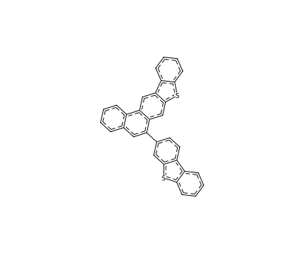 c1ccc2c(c1)cc(-c1ccc3c(c1)sc1ccccc13)c1cc3sc4ccccc4c3cc12